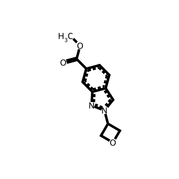 COC(=O)c1ccc2cn(C3COC3)nc2c1